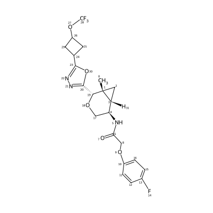 C[C@@]12C[C@@H]1[C@@H](NC(=O)COc1ccc(F)cc1)CO[C@@H]2c1nnc(C2CC(OC(F)(F)F)C2)o1